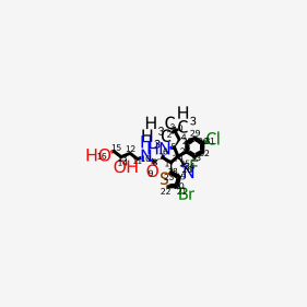 CC(C)(C)C[C@@H]1N[C@@H](C(=O)NCC[C@H](O)CO)[C@H](c2cc(Br)cs2)[C@@]1(C#N)c1ccc(Cl)cc1F